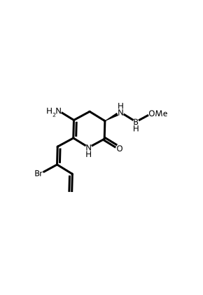 C=C/C(Br)=C\C1=C(N)C[C@@H](NBOC)C(=O)N1